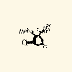 CCCNC(=O)c1cc(Cl)cc(Cl)c1NC